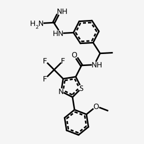 COc1ccccc1-c1nc(C(F)(F)F)c(C(=O)NC(C)c2cccc(NC(=N)N)c2)s1